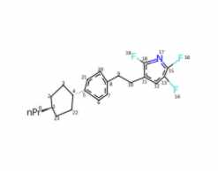 CCC[C@H]1CC[C@H](c2ccc(CCc3cc(F)c(F)nc3F)cc2)CC1